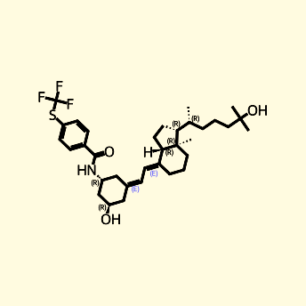 C[C@H](CCCC(C)(C)O)[C@H]1CC[C@H]2/C(=C/C=C3/C[C@@H](O)C[C@H](NC(=O)c4ccc(SC(F)(F)F)cc4)C3)CCC[C@]12C